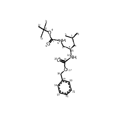 CC(C)C[C@H](CNC(=O)OC(C)(C)C)NC(=O)OCc1ccccc1